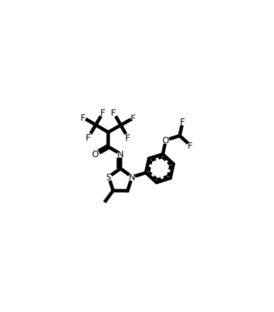 CC1CN(c2cccc(OC(F)F)c2)C(=NC(=O)C(C(F)(F)F)C(F)(F)F)S1